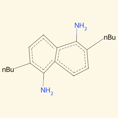 CCCCc1ccc2c(N)c(CCCC)ccc2c1N